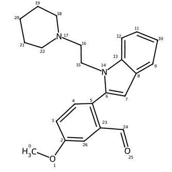 COc1ccc(-c2cc3ccccc3n2CCN2CCCCC2)c(C=O)c1